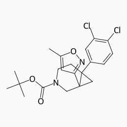 Cc1cc(C23CN(C(=O)OC(C)(C)C)CCC2(c2ccc(Cl)c(Cl)c2)C3)no1